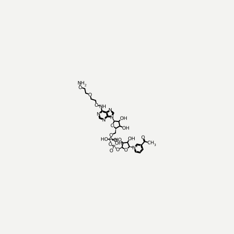 CC(=O)c1ccc[n+]([C@H]2O[C@@H](OP(=O)(O)OP(=O)(O)OC[C@H]3O[C@@H](n4cnc5c(NOCCOCCON)ncnc54)C(O)C3O)C(O)C2O)c1